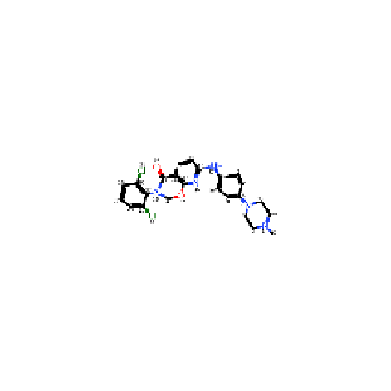 CN1CCN(c2ccc(Nc3ccc4c(n3)OCN(c3c(Cl)cccc3Cl)C4=O)cc2)CC1